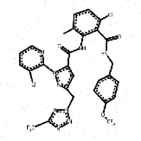 Cc1ccc(Cl)c(C(=O)NCc2ccc(OC(F)(F)F)cc2)c1NC(=O)c1cc(Cn2nnc(C(F)(F)F)n2)nn1-c1ncccc1Cl